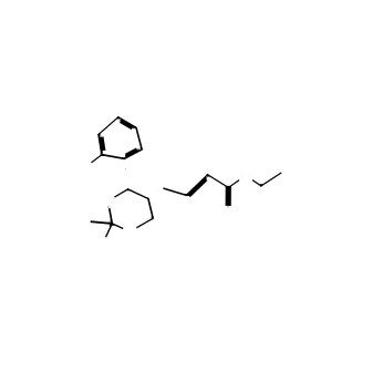 CCOC(=O)/C=C/C[C@@H]1COC(C)(C)O[C@@H]1c1ccccc1O